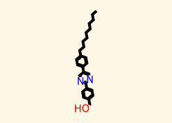 CCCCCCCCCCc1ccc(-c2cnc(-c3ccc(CO)cc3)nc2)cc1